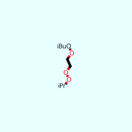 CC(C)COOCCOOC(C)C